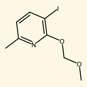 COCOc1nc(C)ccc1I